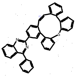 C1=C\c2ccc(-c3nc(-c4ccccc4)c4ccccc4n3)cc2-c2ccccc2Sc2ccccc2-c2ccccc2/1